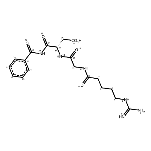 N=C(N)NCCCCC(=O)NCC(=O)N[C@@H](CC(=O)O)C(=O)NC(=O)c1ccccc1